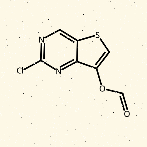 O=COc1csc2cnc(Cl)nc12